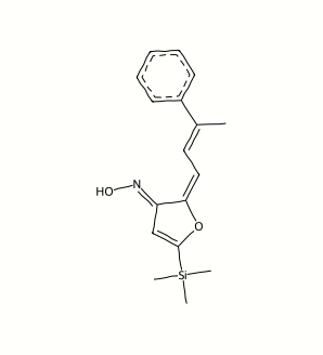 C\C(=C/C=C1/OC([Si](C)(C)C)=C/C1=N\O)c1ccccc1